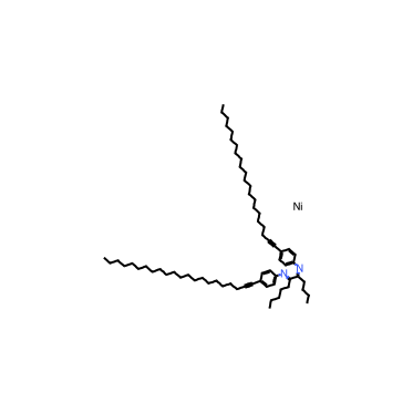 CCCCCCCCCCCCCCCCCCCCC#Cc1ccc(N=C(CCCC)C(CCCCC)=Nc2ccc(C#CCCCCCCCCCCCCCCCCCCCC)cc2)cc1.[Ni]